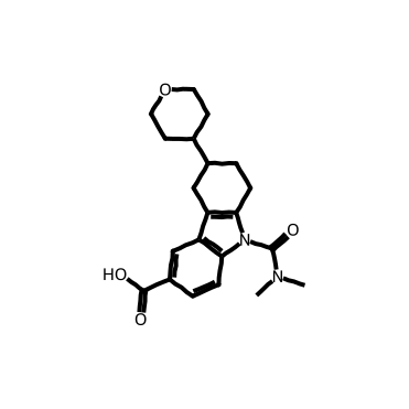 CN(C)C(=O)n1c2c(c3cc(C(=O)O)ccc31)CC(C1CCOCC1)CC2